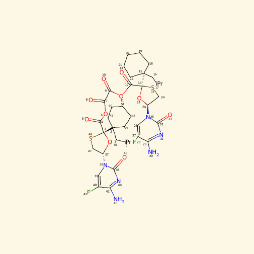 CC(C)CC1([C@@]2(C(=O)OC(=O)C(=O)OC(=O)[C@]3(C4(CC(C)C)CCCCC4)O[C@H](n4cc(F)c(N)nc4=O)CS3)O[C@H](n3cc(F)c(N)nc3=O)CS2)CCCCC1